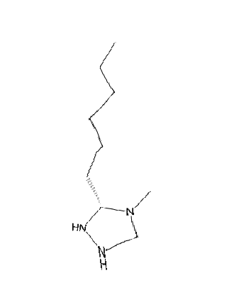 CCCCCC[C@H]1NNCN1C